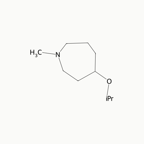 CC(C)OC1CCCN(C)CC1